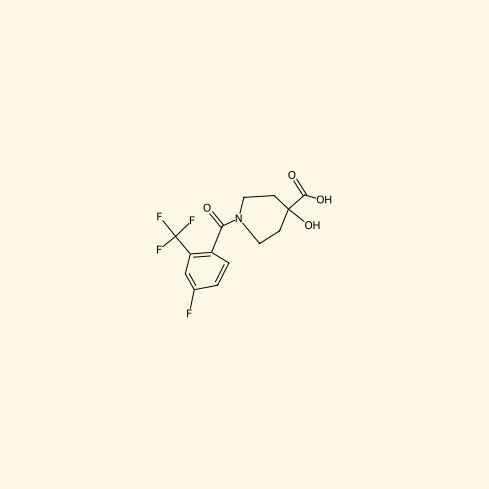 O=C(c1ccc(F)cc1C(F)(F)F)N1CCC(O)(C(=O)O)CC1